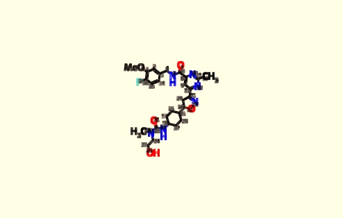 COc1cc(CNC(=O)c2cc(C3=NOC(C4CCC(NC(=O)N(C)CCO)CC4)C3)nc(C)n2)ccc1F